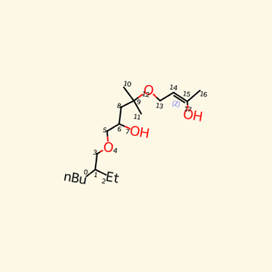 CCCCC(CC)COCC(O)CC(C)(C)OC/C=C(/C)O